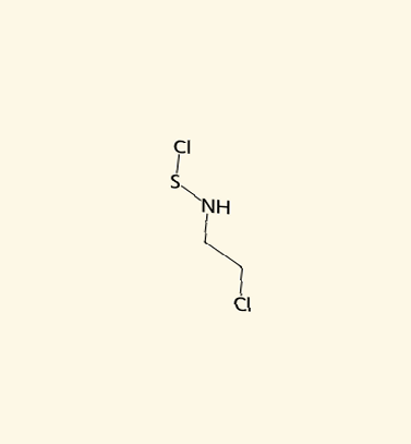 ClCCNSCl